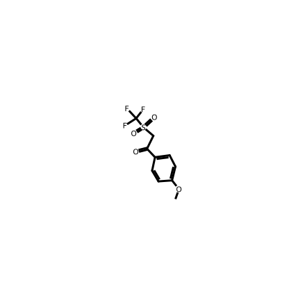 COc1ccc(C(=O)CS(=O)(=O)C(F)(F)F)cc1